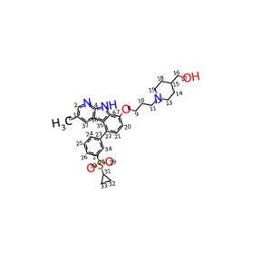 Cc1cnc2[nH]c3c(OCCCN4CCC(CO)CC4)ccc(-c4cccc(S(=O)(=O)C5CC5)c4)c3c2c1